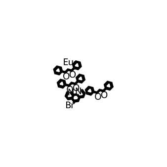 Brc1cc2cccnc2c2ncccc12.O=C(CC(=O)c1ccccc1)c1ccccc1.O=C(CC(=O)c1ccccc1)c1ccccc1.O=C(CC(=O)c1ccccc1)c1ccccc1.[Eu]